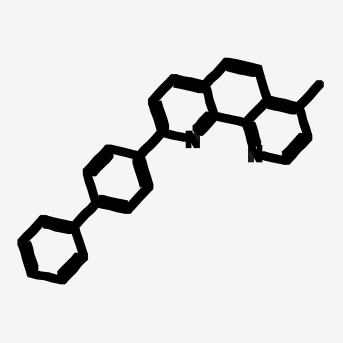 Cc1ccnc2c1ccc1ccc(-c3ccc(-c4ccccc4)cc3)nc12